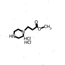 COC(=O)CCN1CCNCC1.Cl.Cl